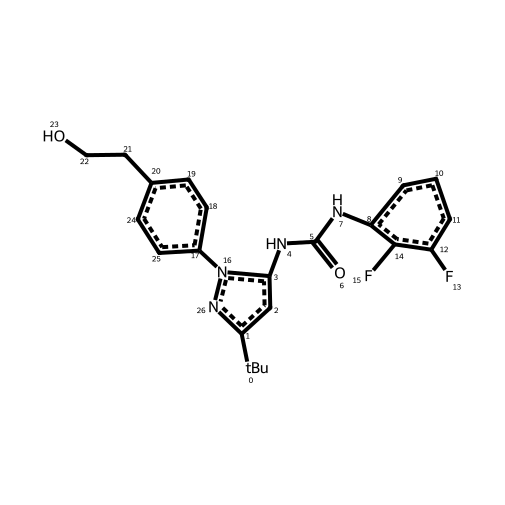 CC(C)(C)c1cc(NC(=O)Nc2cccc(F)c2F)n(-c2ccc(CCO)cc2)n1